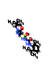 Cc1cccc(C(C)C)c1NC(=O)N[S+]([O-])c1cnn2c1OCC(C)(C)C2